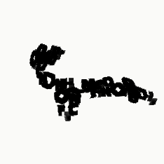 COC[C@@H](CN1CCC(Nc2cccc3c2cc(C#CCNc2ccc(S(C)(=O)=O)cc2OC)n3CC(F)(F)F)CC1)OC(=O)C(C)C